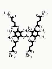 COC(=O)CCC(=O)Oc1c(C)c(C)c(OC(=O)CCC(=O)OC)c(SSSc2c(C)c(OC(=O)CCC(=O)OC)c(C)c(C)c2OC(=O)CCC(=O)OC)c1C